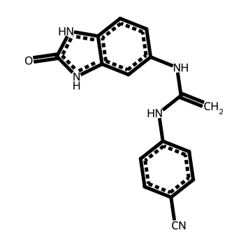 C=C(Nc1ccc(C#N)cc1)Nc1ccc2[nH]c(=O)[nH]c2c1